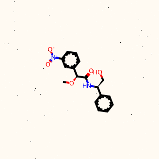 CO[C@H](C(=O)N[C@@H](CO)c1ccccc1)c1cccc([N+](=O)[O-])c1